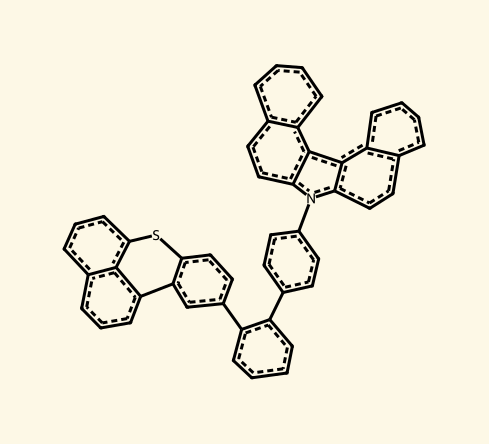 c1ccc(-c2ccc3c(c2)-c2cccc4cccc(c24)S3)c(-c2ccc(-n3c4ccc5ccccc5c4c4c5ccccc5ccc43)cc2)c1